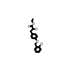 CCOC(=O)C(Cl)Cc1ccc(OCc2ccccc2Cl)cc1